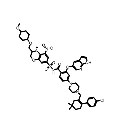 COC1CCC(OCC2COc3cc(S(=O)(=O)NC(=O)c4ccc(N5CCN(CC6=C(c7ccc(Cl)cc7)CCC(C)(C)C6)CC5)cc4Oc4cnc5[nH]ccc5c4)cc([N+](=O)[O-])c3N2)CC1